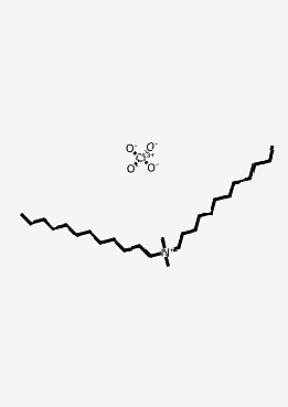 CCCCCCCCCCCC[N+](C)(C)CCCCCCCCCCCC.[O-][Cl+3]([O-])([O-])[O-]